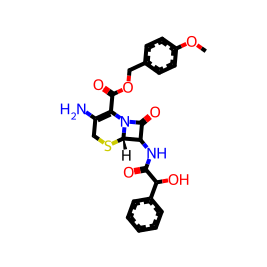 COc1ccc(COC(=O)C2=C(N)CS[C@H]3C(NC(=O)C(O)c4ccccc4)C(=O)N23)cc1